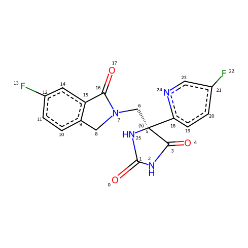 O=C1NC(=O)[C@](CN2Cc3ccc(F)cc3C2=O)(c2ccc(F)cn2)N1